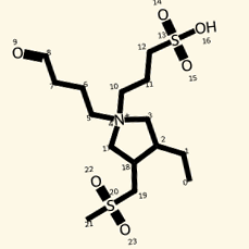 CCC1C[N+](CCCC=O)(CCCS(=O)(=O)O)CC1CS(C)(=O)=O